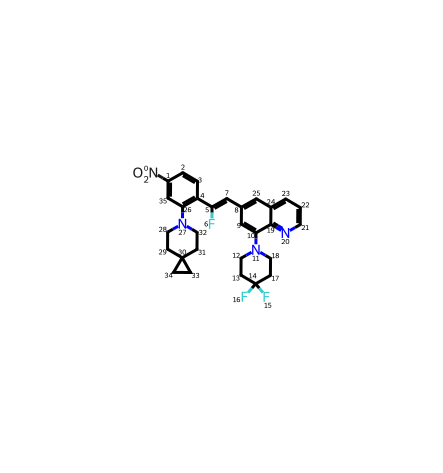 O=[N+]([O-])c1ccc(/C(F)=C/c2cc(N3CCC(F)(F)CC3)c3ncccc3c2)c(N2CCC3(CC2)CC3)c1